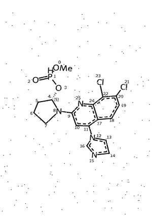 CO[PH](=O)O[C@H]1CCCN1c1cc(-n2ccnc2)c2ccc(Cl)c(Cl)c2n1